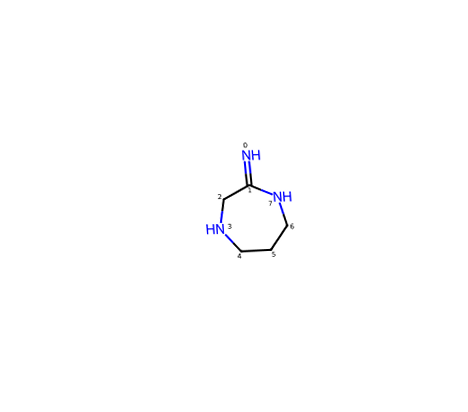 N=C1CNCCCN1